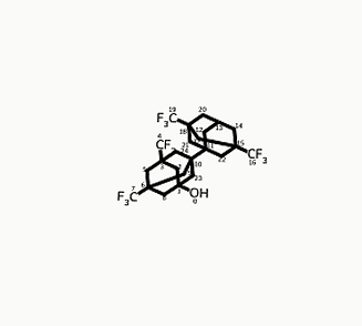 OC12CC3(C(F)(F)F)CC(C(F)(F)F)(C1)CC(C14CC5CC(C(F)(F)F)(CC(C(F)(F)F)(C5)C1)C4)(C2)C3